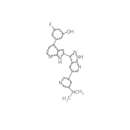 CN(C)c1cncc(-c2cnc3[nH]nc(-c4cc5c(-c6cc(O)cc(F)c6)ccnc5[nH]4)c3c2)c1